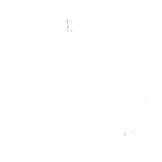 CCCC(=O)c1cc(-c2c[nH]c3ccccc23)co1